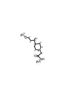 CC(C)NC(=O)CN1CCC(C(C)CCOC(C)C)CC1